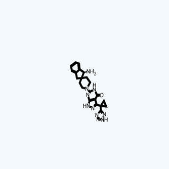 N[C@@H]1c2ccccc2CC12CCN(c1nc3[nH]nc(C4(c5nn[nH]n5)CC4)c3c(=O)[nH]1)CC2